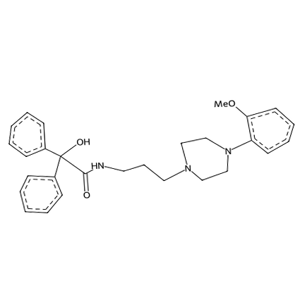 COc1ccccc1N1CCN(CCCNC(=O)C(O)(c2ccccc2)c2ccccc2)CC1